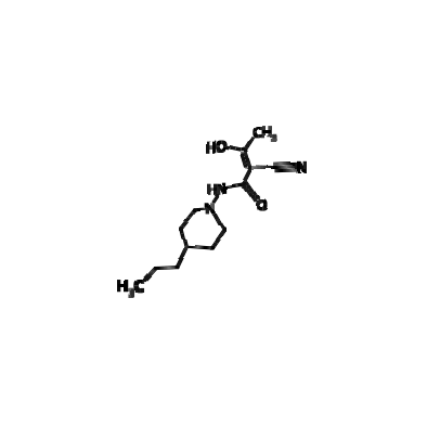 CCCC1CCN(NC(=O)C(C#N)=C(C)O)CC1